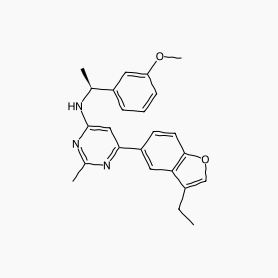 CCc1coc2ccc(-c3cc(N[C@@H](C)c4cccc(OC)c4)nc(C)n3)cc12